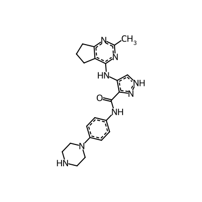 Cc1nc2c(c(Nc3c[nH]nc3C(=O)Nc3ccc(N4CCNCC4)cc3)n1)CCC2